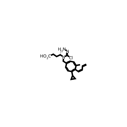 C=C\C=C/C1=C(C2CC2)/C=C\C(CN(/C(Cl)=N\N)[C@@H](C)CCC(=O)O)=C/C=C\1C